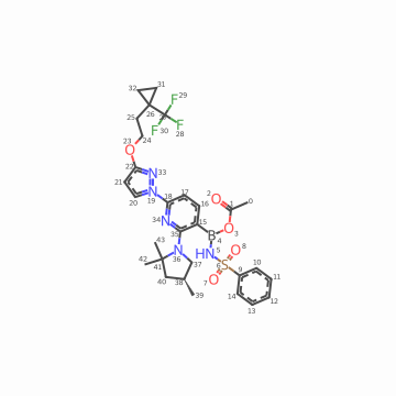 CC(=O)OB(NS(=O)(=O)c1ccccc1)c1ccc(-n2ccc(OCCC3(C(F)(F)F)CC3)n2)nc1N1C[C@@H](C)CC1(C)C